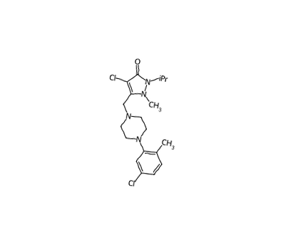 Cc1ccc(Cl)cc1N1CCN(Cc2c(Cl)c(=O)n(C(C)C)n2C)CC1